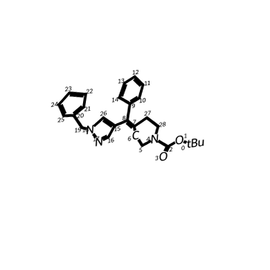 CC(C)(C)OC(=O)N1CCC(=C(c2ccccc2)c2cnn(Cc3ccccc3)c2)CC1